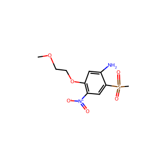 COCCOc1cc(N)c(S(C)(=O)=O)cc1[N+](=O)[O-]